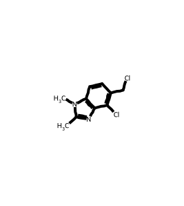 Cc1nc2c(Cl)c(CCl)ccc2n1C